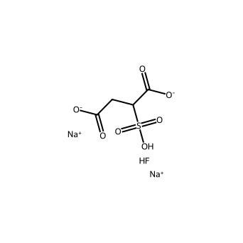 F.O=C([O-])CC(C(=O)[O-])S(=O)(=O)O.[Na+].[Na+]